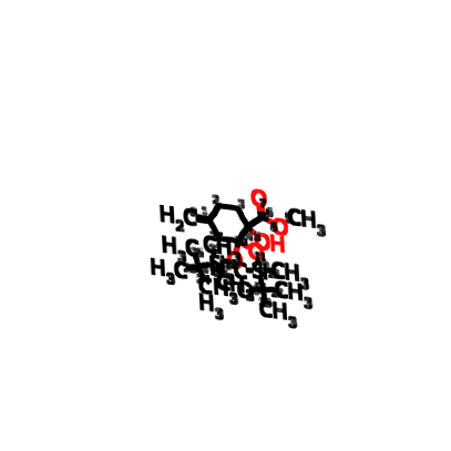 C=C1CCC(O)(C(=O)OC)C(O[Si](C)(C)C(C)(C)C)(O[Si](C)(C)C(C)(C)C)C1